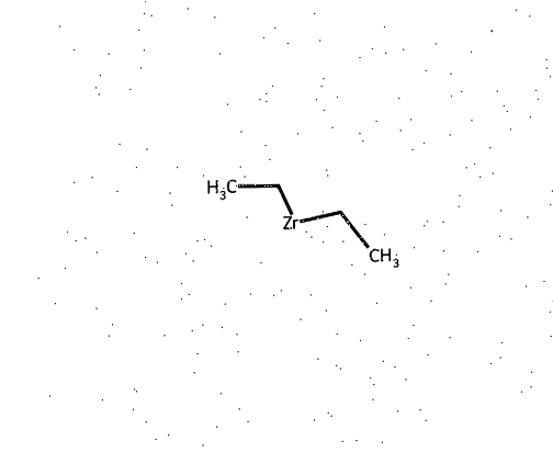 C[CH2][Zr][CH2]C